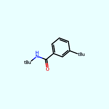 CC(C)(C)NC(=O)c1cccc(C(C)(C)C)c1